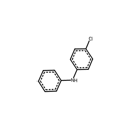 Clc1ccc(Nc2cc[c]cc2)cc1